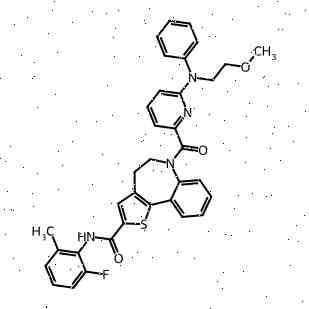 COCCN(c1ccccc1)c1cccc(C(=O)N2CCc3cc(C(=O)Nc4c(C)cccc4F)sc3-c3ccccc32)n1